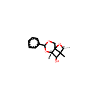 C[C@H]1OC23COC(c4ccccc4)O[C@H]2C(O)C13C